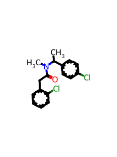 CC(c1ccc(Cl)cc1)N(C)C(=O)Cc1ccccc1Cl